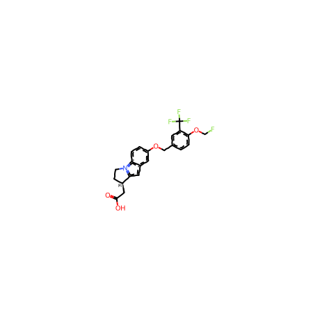 O=C(O)C[C@H]1CCn2c1cc1cc(OCc3ccc(OCF)c(C(F)(F)F)c3)ccc12